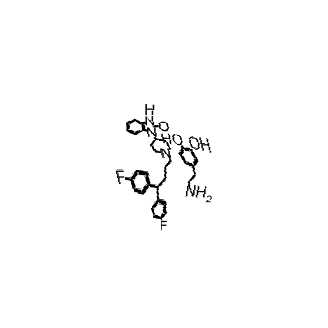 NCCc1ccc(O)c(O)c1.O=c1[nH]c2ccccc2n1C1CCN(CCCC(c2ccc(F)cc2)c2ccc(F)cc2)CC1